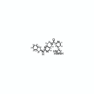 O=C(c1cc(C2=CNNN2)ccn1)N1CCc2nc(NC3Cc4ccccc4C3)ncc2C1